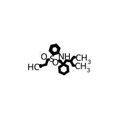 C#CCC(=O)Sc1ccccc1NC(=O)C1(CC(CC)CC)CCCCC1